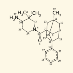 CC1(C)CN(C(=O)C23CC4C[C@](C)(C2)C[C@@](c2ccccc2)(C4)C3)CCC1N